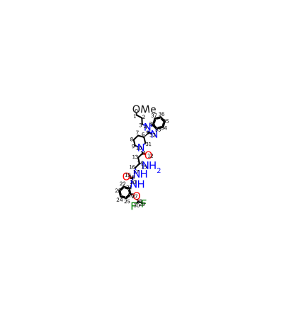 COCCCn1c([C@@H]2CCCN(C(=O)C[C@H](N)CNC(=O)Nc3ccccc3OC(F)F)C2)nc2ccccc21